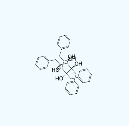 O=C(Cc1ccccc1)[C@@H](O)[C@](O)(Cc1ccccc1)[C@@](O)(Cc1ccccc1)[C@H](O)C(O)Cc1ccccc1